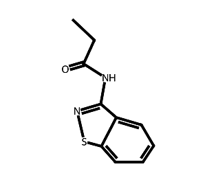 CCC(=O)Nc1nsc2ccccc12